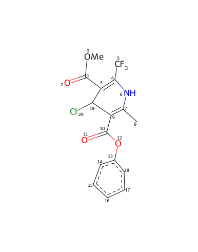 COC(=O)C1=C(C(F)(F)F)NC(C)=C(C(=O)Oc2ccccc2)C1Cl